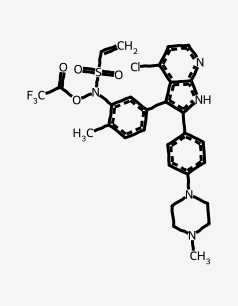 C=CS(=O)(=O)N(OC(=O)C(F)(F)F)c1cc(-c2c(-c3ccc(N4CCN(C)CC4)cc3)[nH]c3nccc(Cl)c23)ccc1C